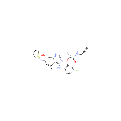 C#CCNC(=O)[C@@H](C)Oc1cc(F)ccc1Nc1ncnc2cc(N=S3(=O)CCCC3)cc(C)c12